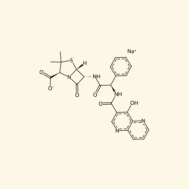 CC1(C)S[C@@H]2[C@H](NC(=O)[C@H](NC(=O)c3cnc4cccnc4c3O)c3ccccc3)C(=O)N2[C@H]1C(=O)[O-].[Na+]